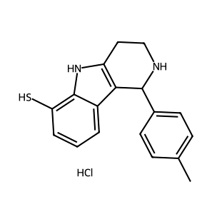 Cc1ccc(C2NCCc3[nH]c4c(S)cccc4c32)cc1.Cl